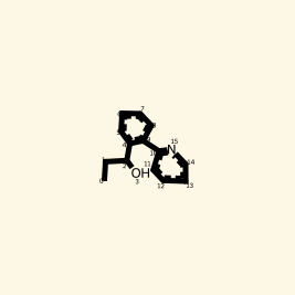 CCC(O)c1ccccc1-c1ccccn1